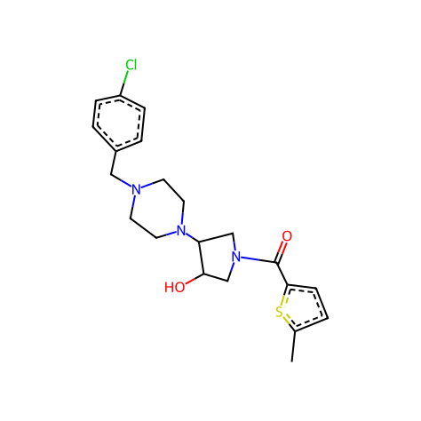 Cc1ccc(C(=O)N2CC(O)C(N3CCN(Cc4ccc(Cl)cc4)CC3)C2)s1